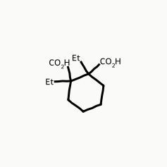 CCC1(C(=O)O)CCCCC1(CC)C(=O)O